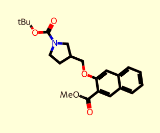 COC(=O)c1cc2ccccc2cc1OCC1CCN(C(=O)OC(C)(C)C)C1